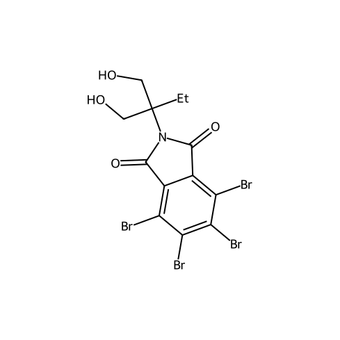 CCC(CO)(CO)N1C(=O)c2c(Br)c(Br)c(Br)c(Br)c2C1=O